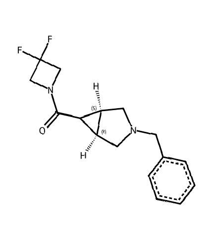 O=C(C1[C@H]2CN(Cc3ccccc3)C[C@@H]12)N1CC(F)(F)C1